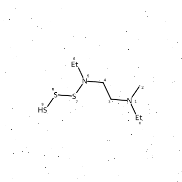 CCN(C)CCN(CC)SSS